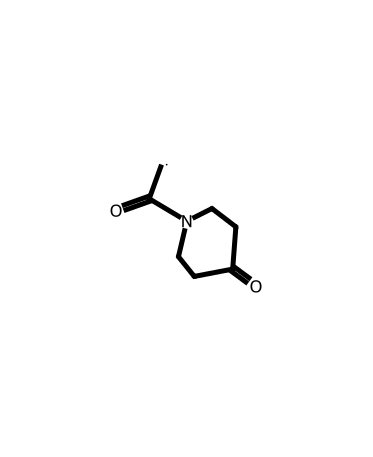 [CH2]C(=O)N1CCC(=O)CC1